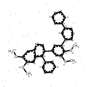 COc1cc2ncc(-c3cc(OC)c(OC)c(-c4cccc(-c5ccccc5)c4)c3)c(-c3ccccc3)c2cc1OC